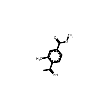 COC(=O)c1ccc(C(=N)I)c(C)c1